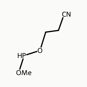 COPOCCC#N